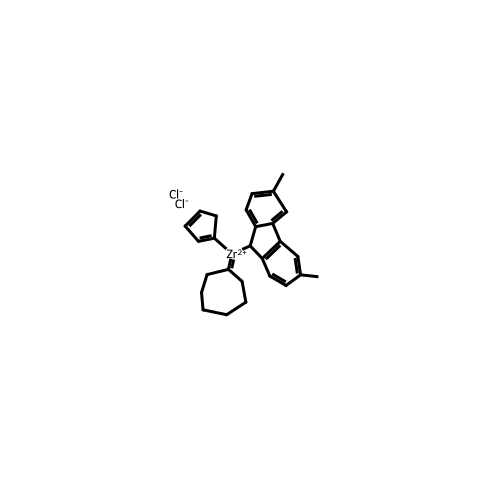 Cc1ccc2c(c1)-c1cc(C)ccc1[CH]2[Zr+2]([C]1=CC=CC1)=[C]1CCCCCC1.[Cl-].[Cl-]